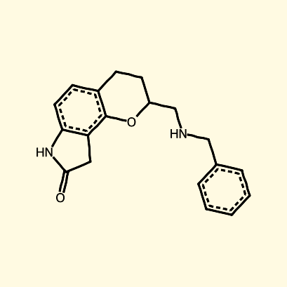 O=C1Cc2c(ccc3c2OC(CNCc2ccccc2)CC3)N1